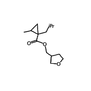 CC(C)CC1(C(=O)OCC2CCOC2)CC1C